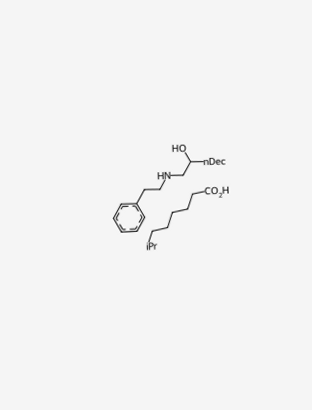 CC(C)CCCCCC(=O)O.CCCCCCCCCCC(O)CNCCc1ccccc1